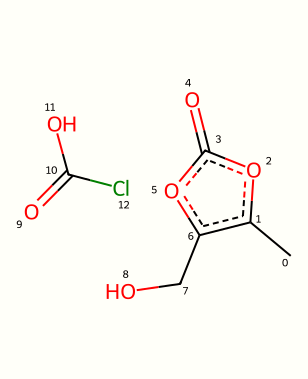 Cc1oc(=O)oc1CO.O=C(O)Cl